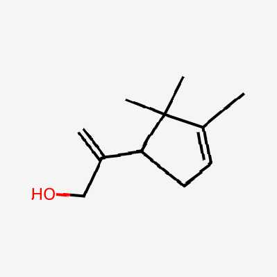 C=C(CO)C1CC=C(C)C1(C)C